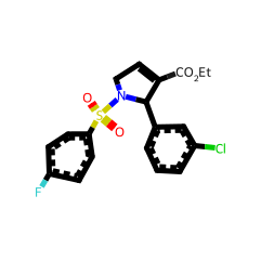 CCOC(=O)C1=CCN(S(=O)(=O)c2ccc(F)cc2)C1c1cccc(Cl)c1